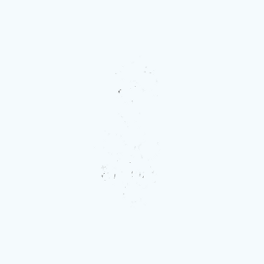 c1ccc2c(c1)-c1c(-c3ccc4c(c3)Sc3cccc5cccc-4c35)cccc1C21c2ccccc2-c2cccc3cccc1c23